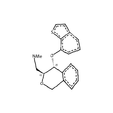 CNC[C@@H]1OCc2ccccc2[C@H]1Oc1cccc2ccsc12